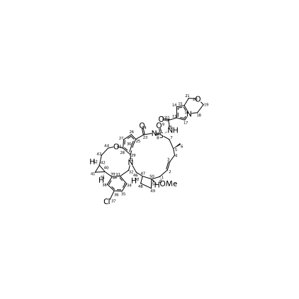 CO[C@H]1/C=C/C[C@H](C)C[S@@](=O)(NC(=O)c2cc3n(c2)CCOC3)=NC(=O)c2ccc3c(c2)N(Cc2ccc(Cl)cc2[C@H]2C[C@H]2CCO3)C[C@@H]2CC[C@H]21